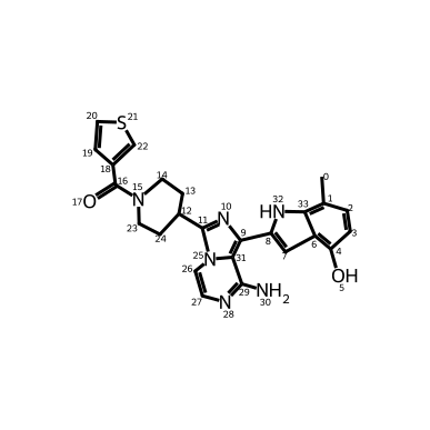 Cc1ccc(O)c2cc(-c3nc(C4CCN(C(=O)c5ccsc5)CC4)n4ccnc(N)c34)[nH]c12